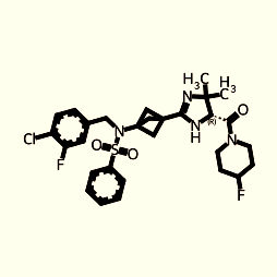 CC1(C)N=C(C23CC(N(Cc4ccc(Cl)c(F)c4)S(=O)(=O)c4ccccc4)(C2)C3)N[C@H]1C(=O)N1CCC(F)CC1